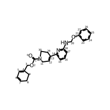 O=C(OCC1=CC=CCC1)N1CC=C(c2cccc(NCOc3ccccc3)n2)CC1